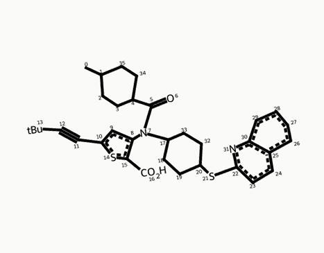 CC1CCC(C(=O)N(c2cc(C#CC(C)(C)C)sc2C(=O)O)C2CCC(Sc3ccc4ccccc4n3)CC2)CC1